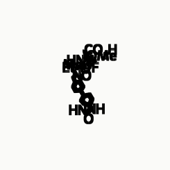 CC[C@@H](C(=O)NC(CC(=O)O)C(CF)(OC)OC)N1Cc2ccc(-c3ccc4[nH]c(=O)[nH]c4c3)cc2C1=O